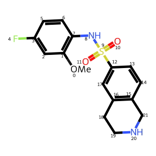 COc1cc(F)ccc1NS(=O)(=O)c1ccc2c(c1)CCNC2